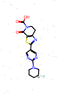 O=C(O)N1CCc2nc(-c3cnc(N4CCC[C@@H](F)C4)nc3)sc2C1=O